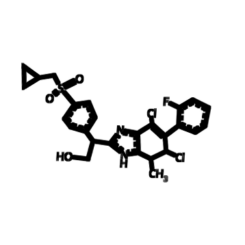 CC1c2[nH]c(C(CO)c3ccc(S(=O)(=O)CC4CC4)cc3)nc2C(Cl)=C(c2ccccc2F)C1Cl